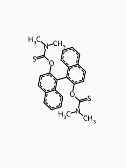 CN(C)C(=S)Oc1ccc2ccccc2c1-c1c(OC(=S)N(C)C)ccc2ccccc12